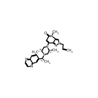 C=CCn1cc2c(n1)c(N1C[C@@H](C)N([C@@H](C)c3ccc4nccnc4c3)C[C@@H]1C)cc(=O)n2C